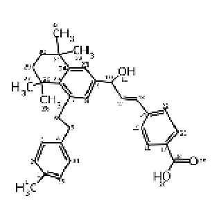 Cc1ccc(CCc2cc(C(O)C=Cc3ccc(C(=O)O)cc3)cc3c2C(C)(C)CCC3(C)C)cc1